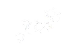 O=C(c1cccnc1)n1ccnc1-c1ccc(NS(=O)(=O)c2cccc3cccnc23)cc1